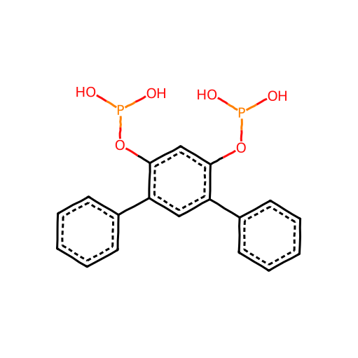 OP(O)Oc1cc(OP(O)O)c(-c2ccccc2)cc1-c1ccccc1